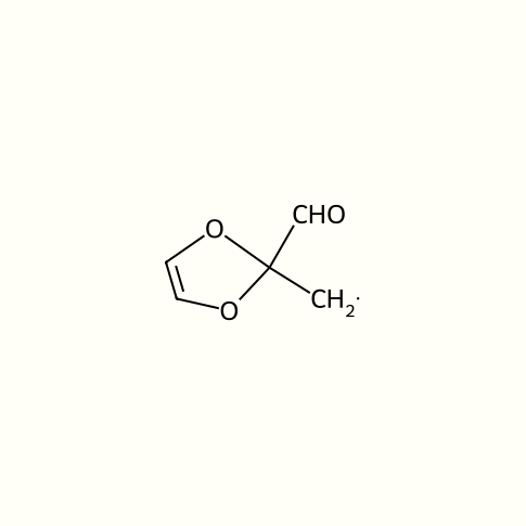 [CH2]C1(C=O)OC=CO1